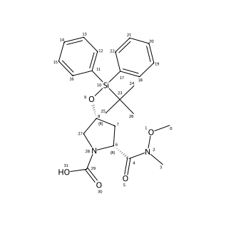 CON(C)C(=O)[C@H]1C[C@@H](O[Si](c2ccccc2)(c2ccccc2)C(C)(C)C)CN1C(=O)O